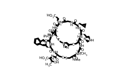 C=C1CCCn2cc(nn2)CC[C@@H]2NC(=O)[C@H](C)NC(=O)[C@@H](NC)CSCC[C@@H](C(=O)N[C@H](C(=O)O)[C@@H](C)O)NC(=O)[C@H](Cc3cc4ccccc4cn3)NC(=O)[C@H](C(C)C)NC(=O)[C@H]1NC(=O)[C@H](CCC(=O)O)NC(=O)CNC(=O)[C@H](CC1CC1)NC(=O)[C@H](Cc1c[nH]cn1)NC2=O